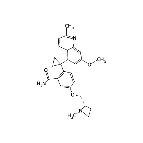 COc1cc(C2(c3ccc(OC[C@@H]4CCN4C)cc3C(N)=O)CC2)c2ccc(C)nc2c1